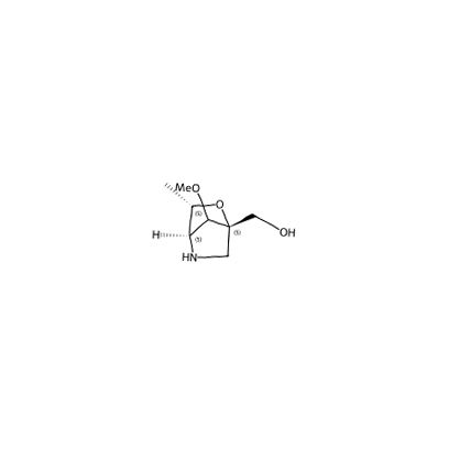 COC1[C@H]2NC[C@@]1(CO)O[C@H]2C